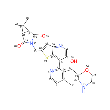 Cc1ccnc(-c2ccnc3cc(CN4C(=O)C5C(C4=O)C5(C)C)sc23)c1C(O)C1CNCCO1